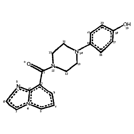 O=C(c1cccn2ccnc12)N1CCN(c2ccc(O)cc2)CC1